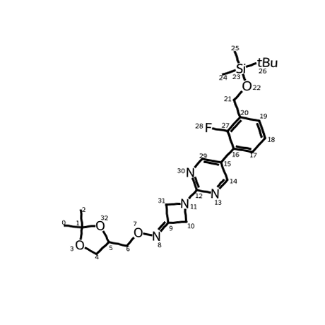 CC1(C)OCC(CON=C2CN(c3ncc(-c4cccc(CO[Si](C)(C)C(C)(C)C)c4F)cn3)C2)O1